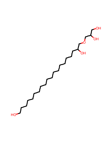 OCCCCCCCCCCCCCCCCCCC(O)COCC(O)CO